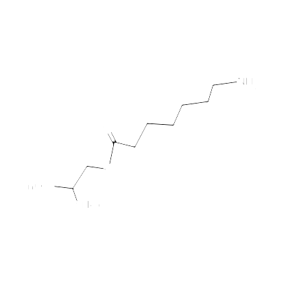 CCCCCCCCC(CCCCCC)COC(=O)CCCCCCN